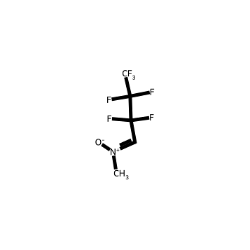 C[N+]([O-])=CC(F)(F)C(F)(F)C(F)(F)F